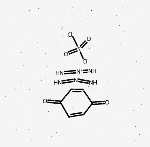 N=[N+]=N.N=[N+]=N.O=C1C=CC(=O)C=C1.O=S(=O)(Cl)Cl